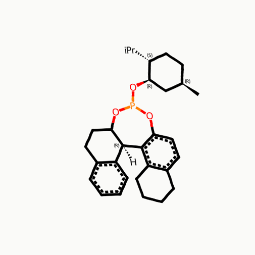 CC(C)[C@@H]1CC[C@@H](C)C[C@H]1OP1Oc2ccc3c(c2[C@H]2c4ccccc4CCC2O1)CCCC3